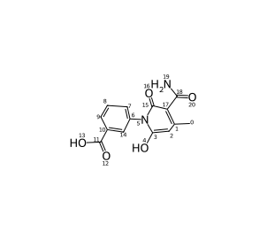 Cc1cc(O)n(-c2cccc(C(=O)O)c2)c(=O)c1C(N)=O